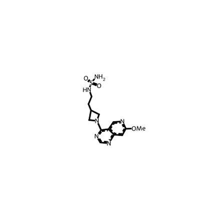 COc1cc2ncnc(N3CC(CCNS(N)(=O)=O)C3)c2cn1